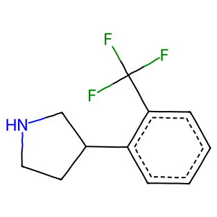 FC(F)(F)c1ccccc1C1CCNC1